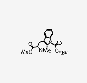 CN[C@@H](Cc1c(C)n(C(=O)OC(C)(C)C)c2ccccc12)C(=O)OC